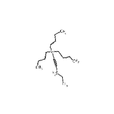 CCC[CH2][Sn]([C]#C[SiH2]CC)([CH2]CCC)[CH2]CCC